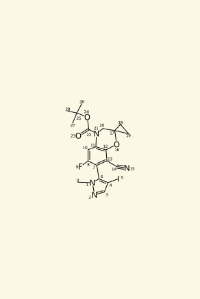 Cn1ncc(I)c1-c1c(F)cc2c(c1C#N)OC1(CC1)CN2C(=O)OC(C)(C)C